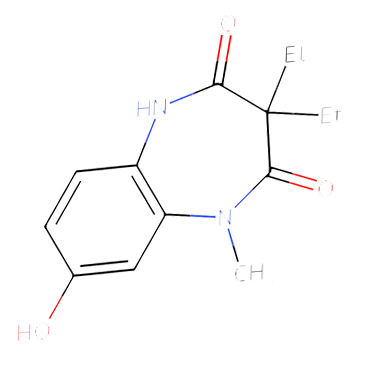 CCC1(CC)C(=O)Nc2ccc(O)cc2N(C)C1=O